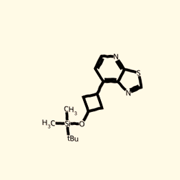 CC(C)(C)[Si](C)(C)OC1CC(c2ccnc3scnc23)C1